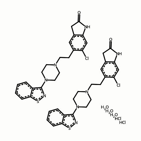 Cl.Cl.O.O.O.O=C1Cc2cc(CCN3CCN(c4nsc5ccccc45)CC3)c(Cl)cc2N1.O=C1Cc2cc(CCN3CCN(c4nsc5ccccc45)CC3)c(Cl)cc2N1